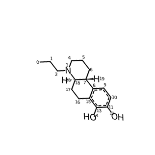 CCCN1CCC[C@@H]2c3ccc(O)c(O)c3CC[C@H]21